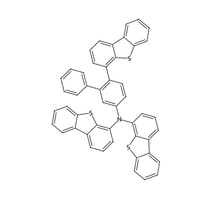 c1ccc(-c2cc(N(c3cccc4c3sc3ccccc34)c3cccc4c3sc3ccccc34)ccc2-c2cccc3c2sc2ccccc23)cc1